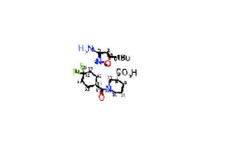 CC(C)(C)c1cc(N)no1.O=C(O)[C@@H]1CCCN(C(=O)C2CCC(F)(F)CC2)C1